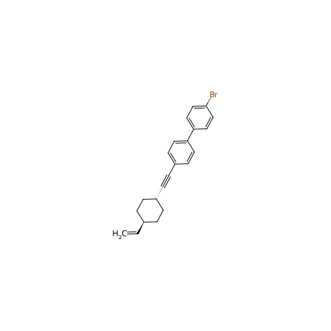 C=C[C@H]1CC[C@H](C#Cc2ccc(-c3ccc(Br)cc3)cc2)CC1